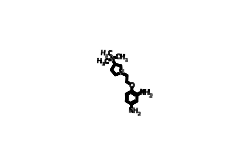 C[N+](C)(C)C1CCN(CCOc2ccc(N)cc2N)C1